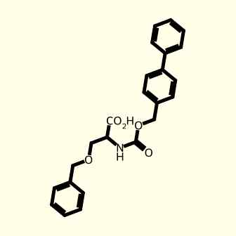 O=C(NC(COCc1ccccc1)C(=O)O)OCc1ccc(-c2ccccc2)cc1